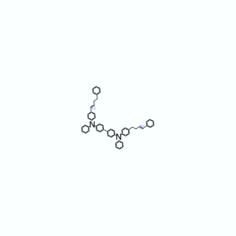 C(=C\c1ccc(N(c2ccccc2)c2ccc(-c3ccc(N(c4ccccc4)c4ccc(CC/C=C/c5ccccc5)cc4)cc3)cc2)cc1)/CCc1ccccc1